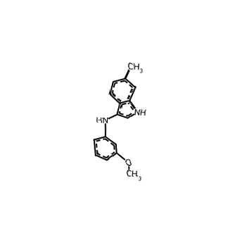 COc1cccc(Nc2c[nH]c3cc(C)ccc23)c1